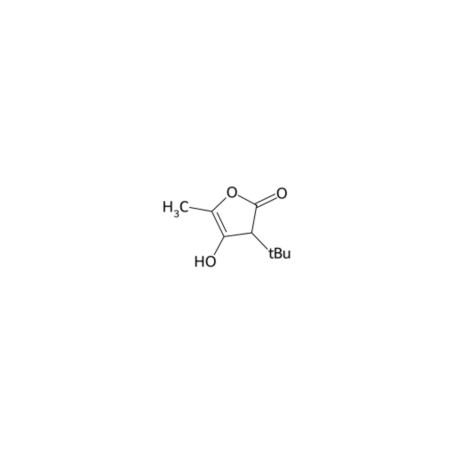 CC1=C(O)C(C(C)(C)C)C(=O)O1